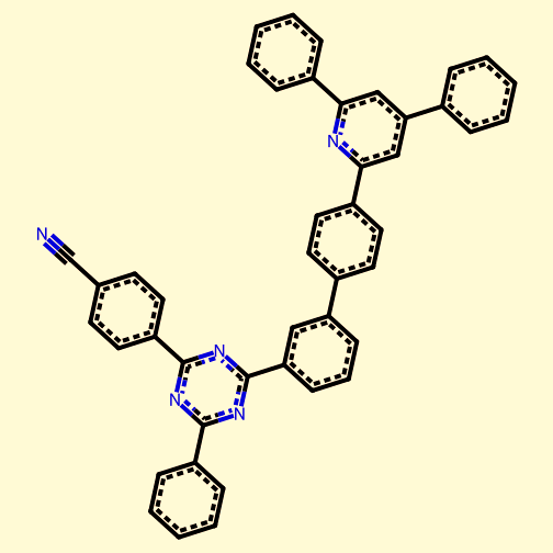 N#Cc1ccc(-c2nc(-c3ccccc3)nc(-c3cccc(-c4ccc(-c5cc(-c6ccccc6)cc(-c6ccccc6)n5)cc4)c3)n2)cc1